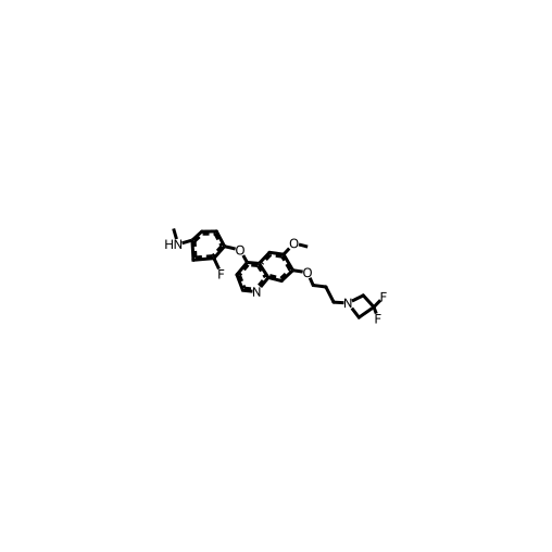 CNc1ccc(Oc2ccnc3cc(OCCCN4CC(F)(F)C4)c(OC)cc23)c(F)c1